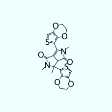 CN1C(=O)C2C(=C1c1scc3c1OCCO3)C(=O)N(C)C2(C)c1scc2c1OCCO2